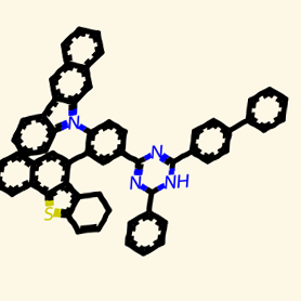 C1=Cc2sc3c(c(-c4cc(C5=NC(c6ccccc6)NC(c6ccc(-c7ccccc7)cc6)=N5)ccc4-n4c5ccccc5c5cc6ccccc6cc54)cc4ccccc43)c2CC1